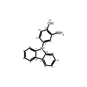 Nc1cc(-n2c3ccccc3c3ccccc32)ccc1O